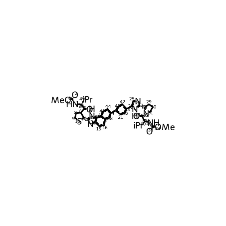 COC(=O)N[C@H](C(=O)C1CCS[C@H]1c1nc2ccc3cc(-c4ccc(-c5cnc([C@@H]6CCCN6C(=O)[C@@H](NC(=O)OC)C(C)C)[nH]5)cc4)ccc3c2[nH]1)C(C)C